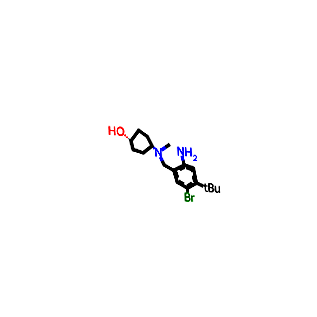 CN(Cc1cc(Br)c(C(C)(C)C)cc1N)[C@H]1CC[C@H](O)CC1